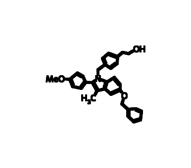 COc1ccc(-c2c(C)c3cc(OCc4ccccc4)ccc3n2Cc2ccc(CCO)cc2)cc1